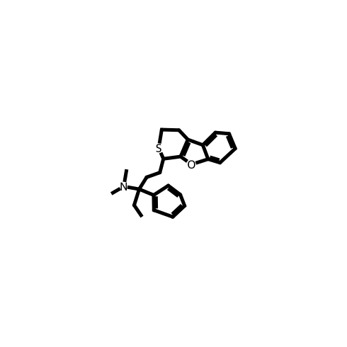 CCC(CCC1SCCc2c1oc1ccccc21)(c1ccccc1)N(C)C